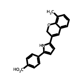 Cc1cccc2c1OCC(c1ccc(-c3ccc(C(=O)O)cc3)[nH]1)=C2